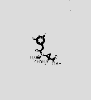 COC(=O)C1(N)CC1N(C(=O)Cc1cc(F)cc(F)c1)[C@@H](C)C=O